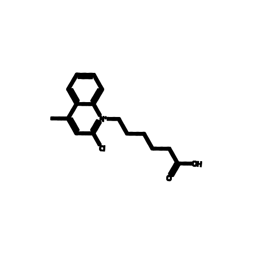 Cc1cc(Cl)[n+](CCCCCC(=O)O)c2ccccc12